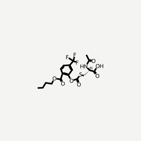 CCCCOC(=O)c1ccc(C(F)(F)F)cc1OC(=O)SC[C@H](NC(C)=O)C(=O)O